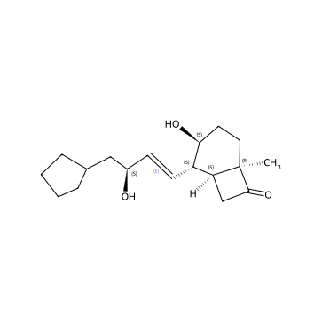 C[C@@]12CC[C@H](O)[C@@H](/C=C/[C@@H](O)CC3CCCC3)[C@@H]1CC2=O